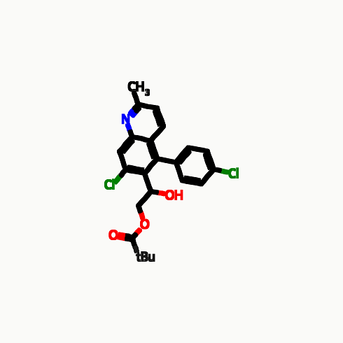 Cc1ccc2c(-c3ccc(Cl)cc3)c(C(O)COC(=O)C(C)(C)C)c(Cl)cc2n1